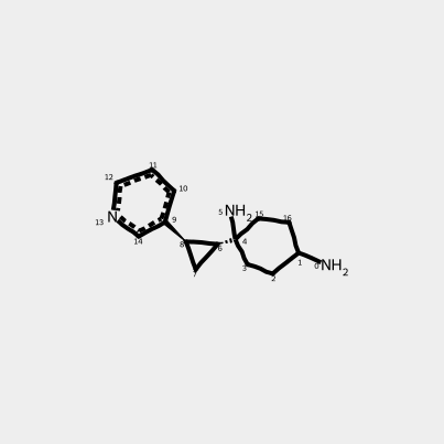 NC1CCC(N)([C@@H]2C[C@H]2c2cccnc2)CC1